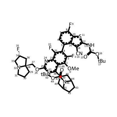 COc1c(F)c(-c2ccc(F)c3sc(NC(=O)OC(C)(C)C)c(C#N)c23)c(F)c2nc(OC[C@@]34CCCN3C[C@H](F)C4)nc(N3CC4CCC(C3)N4C(=O)OC(C)(C)C)c12